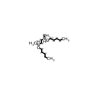 CCCCCO[SiH](C)CC[SiH](C)OCCCCC